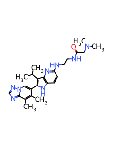 Cc1c(-c2[nH]c3ccc(NCCNC(=O)CN(C)C)nc3c2C(C)C)cn2ncnc2c1C